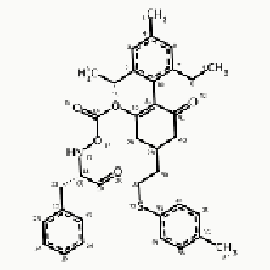 CCc1cc(C)cc(CC)c1C1=C(OC(=O)ON[C@H](C=O)Cc2ccccc2)CC(CCSc2ccc(C)cc2)CC1=O